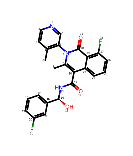 Cc1ccncc1-n1c(C)c(C(=O)N[C@@H](O)c2cccc(F)c2)c2cccc(F)c2c1=O